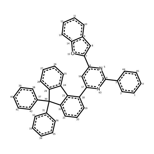 c1ccc(-c2nc(-c3cc4ccccc4o3)cc(-c3cccc4c3-c3ccccc3C4(c3ccccc3)c3ccccc3)n2)cc1